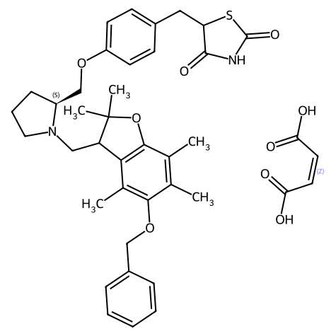 Cc1c(C)c2c(c(C)c1OCc1ccccc1)C(CN1CCC[C@H]1COc1ccc(CC3SC(=O)NC3=O)cc1)C(C)(C)O2.O=C(O)/C=C\C(=O)O